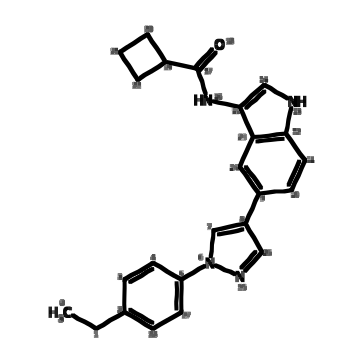 CCc1ccc(-n2cc(-c3ccc4[nH]cc(NC(=O)C5CCC5)c4c3)cn2)cc1